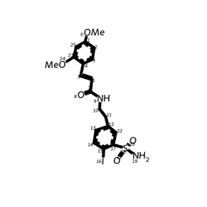 COc1ccc(/C=C/C(=O)NCCc2ccc(I)c(S(N)(=O)=O)c2)c(OC)c1